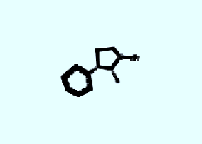 CCCN1CC[C@@H](c2ccccc2)[C@H]1C